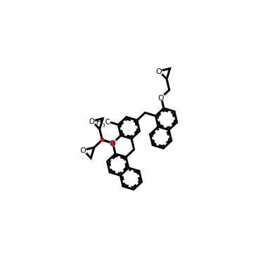 Cc1cc(Cc2c(OCC3CO3)ccc3ccccc23)cc(Cc2c(OCC3CO3)ccc3ccccc23)c1OCC1CO1